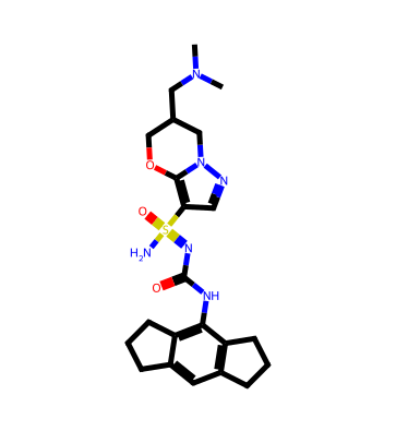 CN(C)CC1COc2c(S(N)(=O)=NC(=O)Nc3c4c(cc5c3CCC5)CCC4)cnn2C1